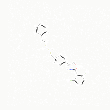 Fc1cccc(F)c1C1=NC(c2ccc(CSSCCc3ccccc3)cc2)CO1